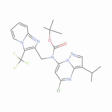 CC(C)c1cnn2c(N(Cc3nc4ccccn4c3C(F)(F)F)C(=O)OC(C)(C)C)cc(Cl)nc12